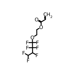 C=CC(=O)OCCOC(F)(F)C(F)(F)C(F)C(F)F